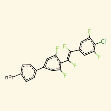 CCCc1ccc(-c2cc(F)c(/C(F)=C(\F)c3cc(F)c(Cl)c(F)c3)c(F)c2)cc1